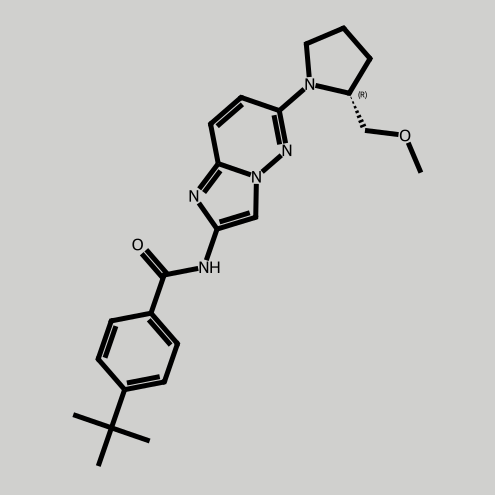 COC[C@H]1CCCN1c1ccc2nc(NC(=O)c3ccc(C(C)(C)C)cc3)cn2n1